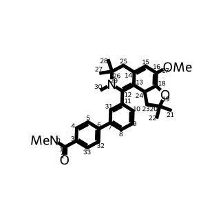 CNC(=O)c1ccc(-c2cccc(C3=C4C(=CC(OC)=C5OC(C)(C)CC54)CC(C)(C)N3C)c2)cc1